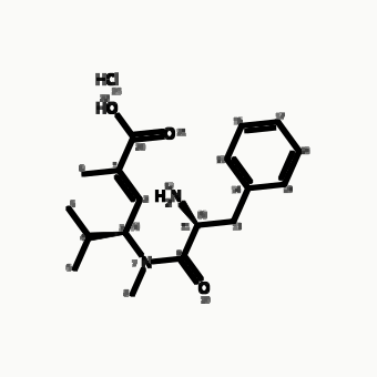 CC(=C[C@H](C(C)C)N(C)C(=O)[C@@H](N)Cc1ccccc1)C(=O)O.Cl